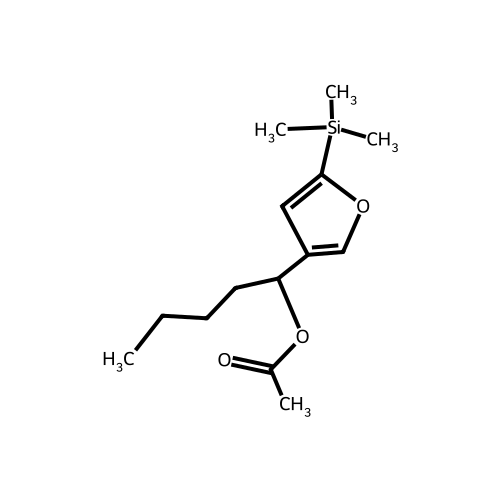 CCCCC(OC(C)=O)c1coc([Si](C)(C)C)c1